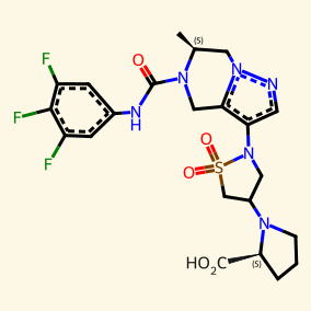 C[C@H]1Cn2ncc(N3CC(N4CCC[C@H]4C(=O)O)CS3(=O)=O)c2CN1C(=O)Nc1cc(F)c(F)c(F)c1